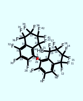 Fc1c(F)c(F)c2c(c1F)C(F)(F)C(F)(F)C(F)(F)C2(F)BC1(F)c2c(F)c(F)c(F)c(F)c2C(F)(F)C(F)(F)C1(F)F